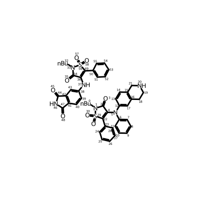 CCCCN1C(=O)C(N(c2ccccc2)c2ccc3c(c2)CCNC3)=C(c2ccccc2)S1(=O)=O.CCCCN1C(=O)C(Nc2ccc3c(c2)C(=O)NC3=O)=C(c2ccccc2)S1(=O)=O